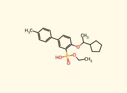 CCOP(=O)(O)c1cc(-c2ccc(C)cc2)ccc1OC(C)C1CCCC1